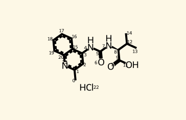 Cc1cc(NC(=O)N[C@H](C(=O)O)C(C)C)c2ccccc2n1.Cl